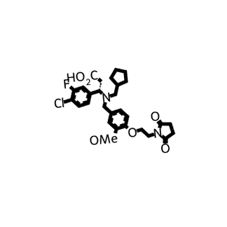 COc1cc(CN(CC2CCCC2)[C@@H](CC(=O)O)c2ccc(Cl)c(F)c2)ccc1OCCN1C(=O)CCC1=O